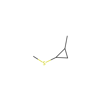 CSC1CC1C